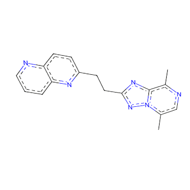 Cc1ncc(C)n2nc(CCc3ccc4ncccc4n3)nc12